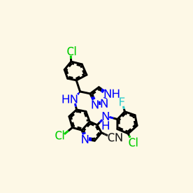 N#Cc1cnc2c(Cl)cc(N[C@@H](c3ccc(Cl)cc3)c3c[nH]nn3)cc2c1Nc1cc(Cl)ccc1F